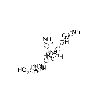 Cc1cc(C(=O)N[C@H]2CCNC2)ccc1-c1ccc(C[C@H](NC(=O)C2CCC(CN)CC2)C(=O)Nc2ccc(-c3nnc(C(F)(F)C(F)(F)C(=O)O)[nH]3)cc2)cc1.Cl